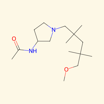 COCC(C)(C)CC(C)(C)CN1CCC(NC(C)=O)C1